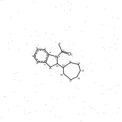 CC(=O)N1c2ccccc2CC1[C]1CCCCCC1